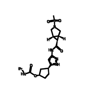 CC(C)NC(=O)O[C@@H]1CC[C@H](c2cc(NC(=O)[C@H]3[C@@H]4CN(S(C)(=O)=O)C[C@@H]43)n[nH]2)C1